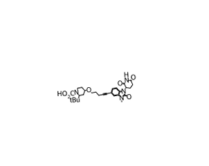 Cn1c(=O)n(C2CCC(=O)NC2=O)c2ccc(C#CCCCOC3CCN(C(=O)O)C(C(C)(C)C)C3)cc21